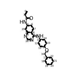 C=CC(=O)Nc1ccc2c(Nc3ccc(OCc4ccccc4)cc3)ncnc2c1